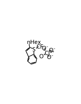 CCCCCCc1cc2ccccc2[s+]1C(F)(F)F.[O-][Cl+3]([O-])([O-])[O-]